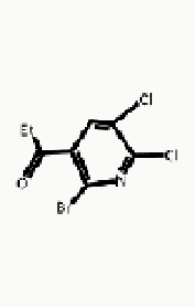 CCC(=O)c1cc(Cl)c(Cl)nc1Br